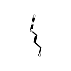 O=C=N/C=C/CCl